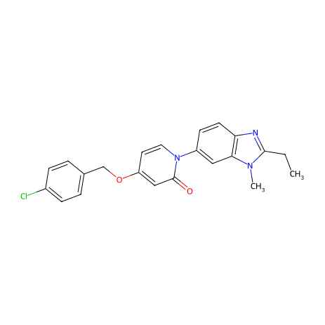 CCc1nc2ccc(-n3ccc(OCc4ccc(Cl)cc4)cc3=O)cc2n1C